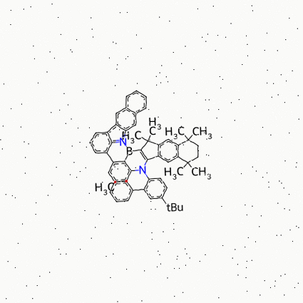 Cc1cc2c3c(c1)N(c1ccc(C(C)(C)C)cc1-c1ccccc1)C1=C(B3n3c4cc5ccccc5cc4c4cccc-2c43)C(C)(C)c2cc3c(cc21)C(C)(C)CCC3(C)C